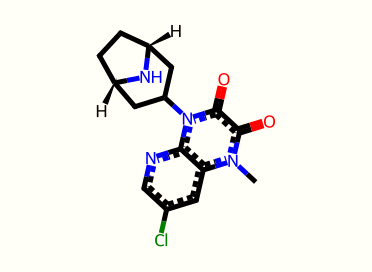 Cn1c(=O)c(=O)n(C2C[C@H]3CC[C@@H](C2)N3)c2ncc(Cl)cc21